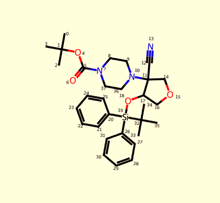 CC(C)(C)OC(=O)N1CCN(C2(C#N)COCC2O[Si](c2ccccc2)(c2ccccc2)C(C)(C)C)CC1